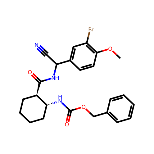 COc1ccc(C(C#N)NC(=O)[C@@H]2CCCC[C@H]2NC(=O)OCc2ccccc2)cc1Br